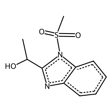 CC(O)c1nc2ccccc2n1S(C)(=O)=O